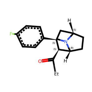 CCC(=O)[C@H]1[C@@H](c2ccc(F)cc2)C[C@@H]2CC[C@H]1N2C